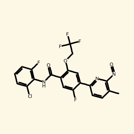 Cc1ccc(-c2cc(OCC(F)(F)F)c(C(=O)Nc3c(F)cccc3Cl)cc2F)nc1N=O